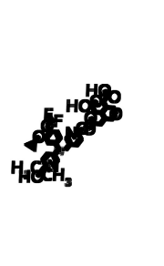 CC(C)(O)c1ccc([C@@H](Cc2ccc(OOC(=O)CC3COCC(CC(=O)O)C3CC(=O)O)nc2)c2ccc(OC(F)F)c(OC3CC3)c2)cn1